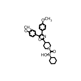 COc1ccc(-c2nc(C3CCN(C(=O)N(O)C4CCCCC4)CC3)oc2-c2ccc(OC)cc2)cc1